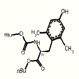 CCCCOC(=O)[C@H](Cc1c(C)cc(O)cc1C)NC(=O)OC(C)(C)C